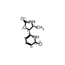 C[C@@H]1NC(=O)O[C@@H]1C1=CC=CC(Cl)N1